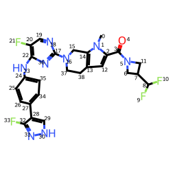 Cn1c(C(=O)N2CC(C(F)F)C2)cc2c1CN(c1ncc(F)c(Nc3ccc(-c4c[nH]nc4F)cc3)n1)CC2